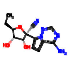 CC[C@H]1O[C@@](C#N)(c2ccc3c(N)ncnn23)[C@H](O)[C@@H]1O